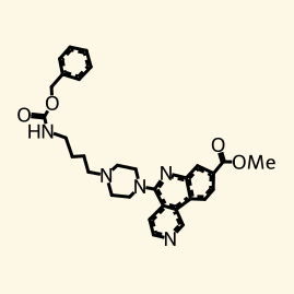 COC(=O)c1ccc2c(c1)nc(N1CCN(CCCCNC(=O)OCc3ccccc3)CC1)c1ccncc12